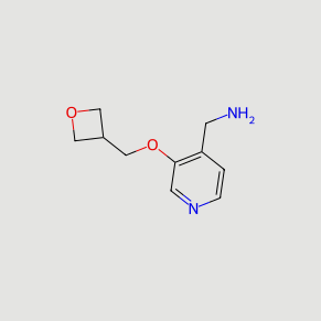 NCc1ccncc1OCC1COC1